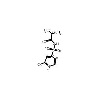 CC(C)C(=O)NS(=O)(=O)c1ccnc(Cl)c1